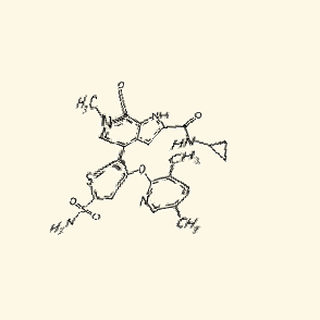 Cc1cnc(Oc2cc(S(N)(=O)=O)sc2-c2cn(C)c(=O)c3[nH]c(C(=O)NC4CC4)cc23)c(C)c1